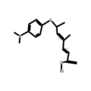 C=C(/C=C/C(C)=C/C(C)Sc1ccc(N(C)C)cc1)OCC